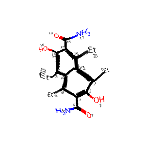 CCc1c(O)c(C(N)=O)c(CC)c2c(CC)c(O)c(C(N)=O)c(CC)c12